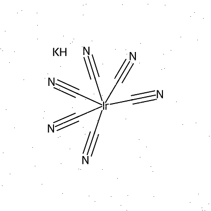 N#[C][Ir]([C]#N)([C]#N)([C]#N)([C]#N)[C]#N.[KH]